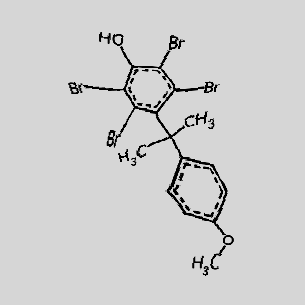 COc1ccc(C(C)(C)c2c(Br)c(Br)c(O)c(Br)c2Br)cc1